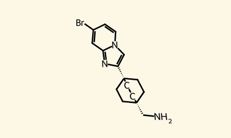 NC[C@]12CC[C@](c3cn4ccc(Br)cc4n3)(CC1)CC2